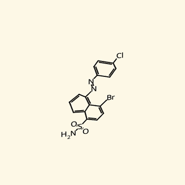 NS(=O)(=O)c1ccc(Br)c2c(N=Nc3ccc(Cl)cc3)cccc12